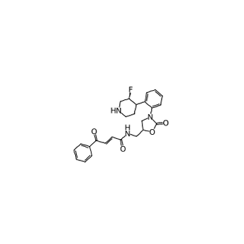 O=C(C=CC(=O)c1ccccc1)NCC1CN(c2ccccc2C2CCNC[C@H]2F)C(=O)O1